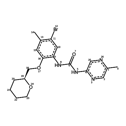 Cc1cnc(NC(=O)Nc2cc(Br)c(C)cc2OC[C@@H]2CCCCO2)cn1